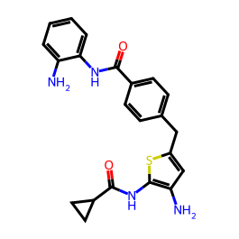 Nc1ccccc1NC(=O)c1ccc(Cc2cc(N)c(NC(=O)C3CC3)s2)cc1